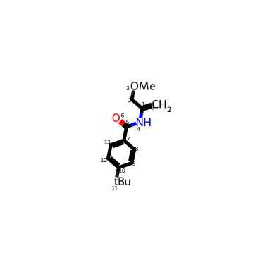 C=C(COC)NC(=O)c1ccc(C(C)(C)C)cc1